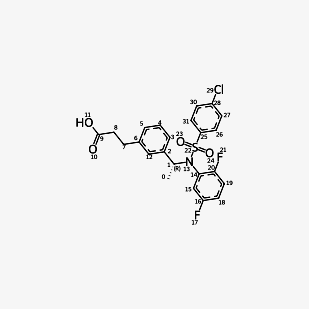 C[C@H](c1cccc(CCC(=O)O)c1)N(c1cc(F)ccc1F)S(=O)(=O)c1ccc(Cl)cc1